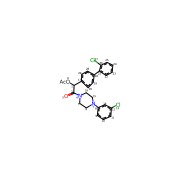 CC(=O)OC(C(=O)N1CCN(c2cccc(Cl)c2)CC1)c1ccc(-c2ccccc2Cl)cc1